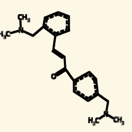 CN(C)Cc1ccc(C(=O)/C=C/c2ccccc2CN(C)C)cc1